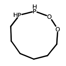 C1CCCPPOOCC1